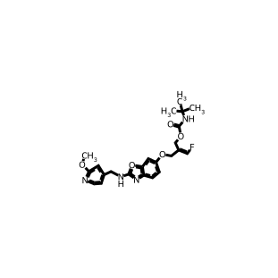 COc1cc(CNc2nc3ccc(OC/C(=C/F)COC(=O)NC(C)(C)C)cc3o2)ccn1